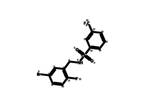 O=S(=O)(NCc1cc(Br)ccc1F)c1cccc(C(F)(F)F)c1